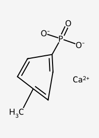 Cc1ccc(P(=O)([O-])[O-])cc1.[Ca+2]